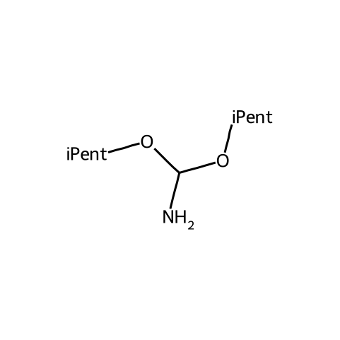 CCCC(C)OC(N)OC(C)CCC